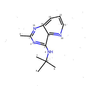 Cc1nc(NC(C)(C)C)c2ncccc2n1